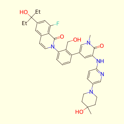 CCC(O)(CC)c1cc(F)c2c(=O)n(-c3cccc(-c4cc(Nc5ccc(N6CCC(C)(O)CC6)cn5)c(=O)n(C)c4)c3CO)ccc2c1